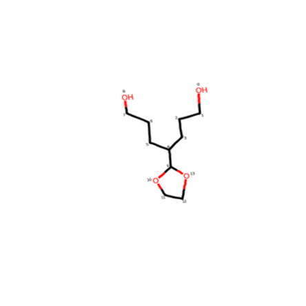 OCCCC(CCCO)C1OCCO1